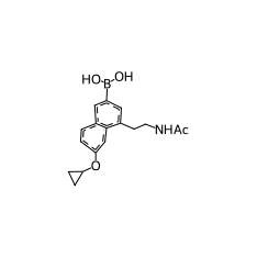 CC(=O)NCCc1cc(B(O)O)cc2ccc(OC3CC3)cc12